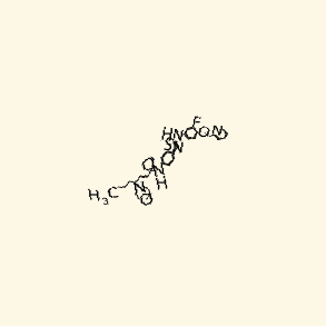 CCCCC(/C=C/C(=O)Nc1ccc2nc(Nc3ccc(OCc4ccccn4)c(F)c3)sc2c1)N1CCOCC1